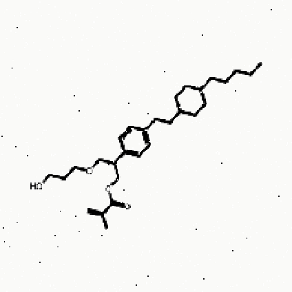 C=C(C)C(=O)OCC(COCCCO)c1ccc(CCC2CCC(CCCCC)CC2)cc1